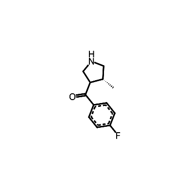 C[C@H]1CNCC1C(=O)c1ccc(F)cc1